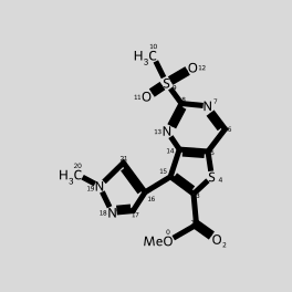 COC(=O)c1sc2cnc(S(C)(=O)=O)nc2c1-c1cnn(C)c1